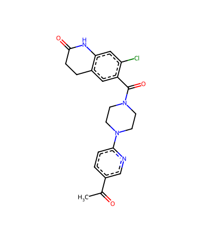 CC(=O)c1ccc(N2CCN(C(=O)c3cc4c(cc3Cl)NC(=O)CC4)CC2)nc1